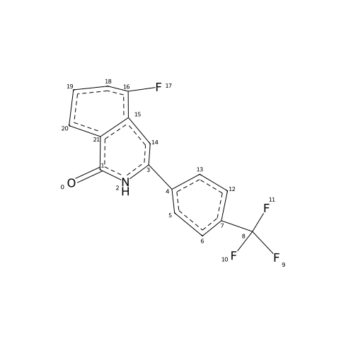 O=c1[nH]c(-c2ccc(C(F)(F)F)cc2)cc2c(F)cccc12